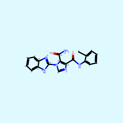 Cc1ccccc1NC(=O)c1ncn(-c2nc3ccccc3[nH]2)c1C(N)=O